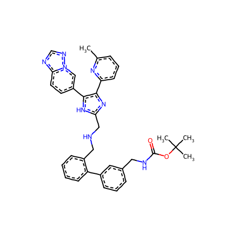 Cc1cccc(-c2nc(CNCc3ccccc3-c3cccc(CNC(=O)OC(C)(C)C)c3)[nH]c2-c2ccc3ncnn3c2)n1